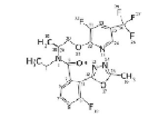 CCN(C(=O)c1cccc(F)c1-c1nnc(C)o1)[C@@H](C)COc1ncc(C(F)(F)F)cc1F